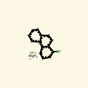 Brc1cccc2c1ccc1ccccc12.F.[MgH2]